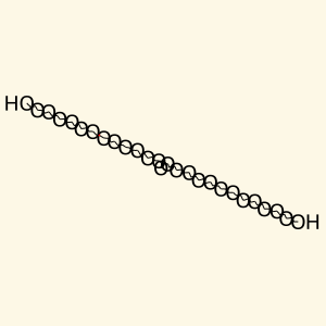 O=C(OCCOCCOCCOCCOCCOCCOCCOCCOCCOCCOCCOCCO)OCCOCCOCCOCCOCCOCCOCCOCCOCCOCCOCCOCCO